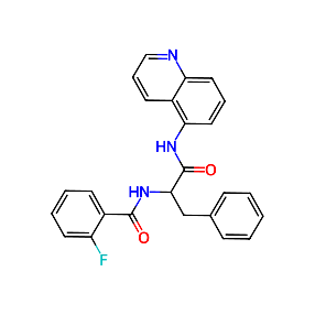 O=C(NC(Cc1ccccc1)C(=O)Nc1cccc2ncccc12)c1ccccc1F